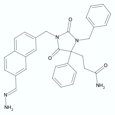 NN=Cc1ccc2ccc(CN3C(=O)N(Cc4ccccc4)C(CCC(N)=O)(c4ccccc4)C3=O)cc2c1